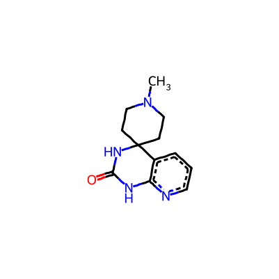 CN1CCC2(CC1)NC(=O)Nc1ncccc12